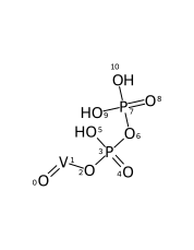 [O]=[V][O]P(=O)(O)OP(=O)(O)O